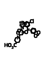 CC(C)(C)CN1C(=O)[C@H](CC(=O)N2CCC(C(=O)O)CC2)O[C@@H](c2ccc3c(c2)OCO3)c2cc(Cl)ccc21